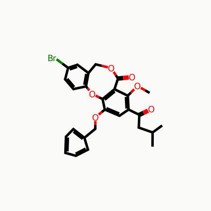 COc1c(C(=O)CC(C)C)cc(OCc2ccccc2)c2c1C(=O)OCc1cc(Br)ccc1O2